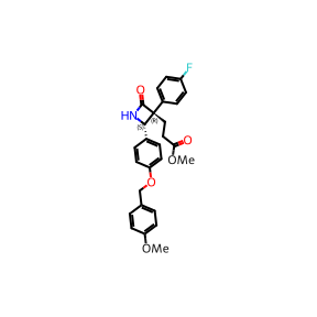 COC(=O)CC[C@]1(c2ccc(F)cc2)C(=O)N[C@H]1c1ccc(OCc2ccc(OC)cc2)cc1